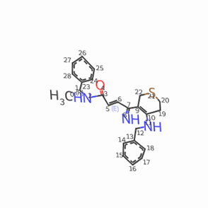 C[C@@H](NC(=O)/C=C/C(=N)C1=C(NCc2ccccc2)CCSC1)c1ccccc1